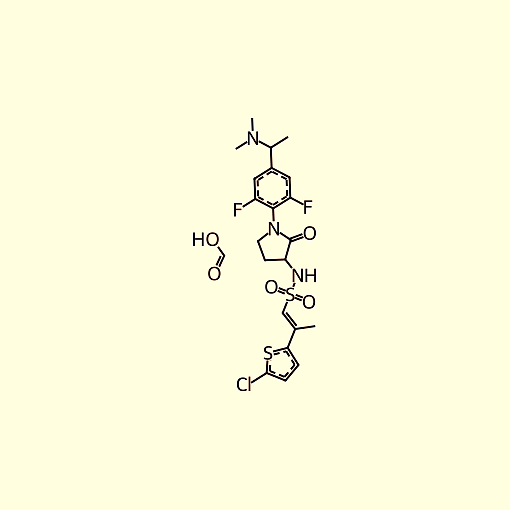 C/C(=C\S(=O)(=O)NC1CCN(c2c(F)cc(C(C)N(C)C)cc2F)C1=O)c1ccc(Cl)s1.O=CO